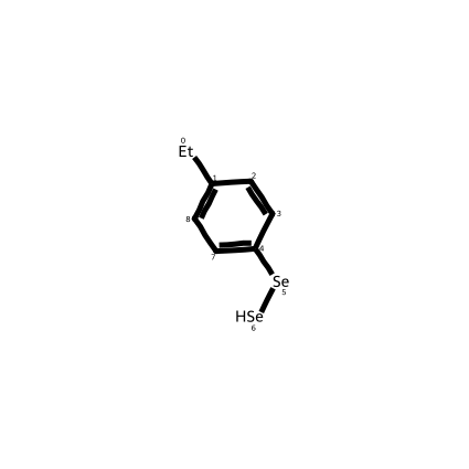 CCc1ccc([Se][SeH])cc1